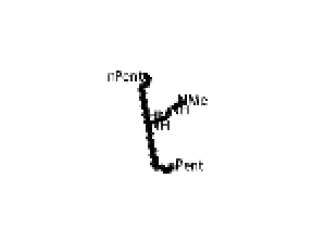 CCCCC/C=C\C/C=C\CCCCCCCCC(CCCCCCCC/C=C\C/C=C\CCCCC)NCCNCCNCCNC